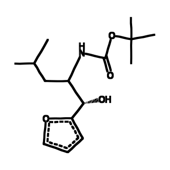 CC(C)CC(NC(=O)OC(C)(C)C)[C@H](O)c1ccco1